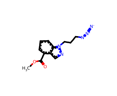 COC(=O)c1cccc2c1cnn2CCCN=[N+]=[N-]